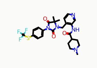 CN1CCC(C(=O)Nc2cnccc2CN2C(=O)N(c3ccc(SC(F)(F)F)cc3)C(=O)C2(C)C)CC1